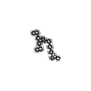 c1ccc2c(c#1)sc1c(-c3ccc(-c4ccc(-c5cccc(-c6cnc7c8cc(-c9cccc%10ccccc9%10)ccc8c8ccc(C9CC=Cc%10ccccc%109)cc8c7n6)c5)cc4)cc3)cccc12